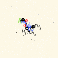 Cc1ccc(C(=S)NC2C(NC(=O)CNC(=O)c3cccc(C(F)(F)F)c3)CCCC2NC(C)C)cc1